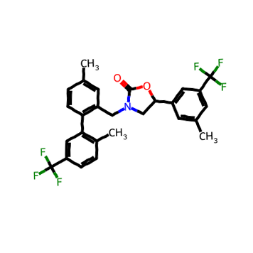 Cc1cc(C2CN(Cc3cc(C)ccc3-c3cc(C(F)(F)F)ccc3C)C(=O)O2)cc(C(F)(F)F)c1